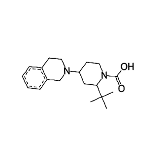 CC(C)(C)C1CC(N2CCc3ccccc3C2)CCN1C(=O)O